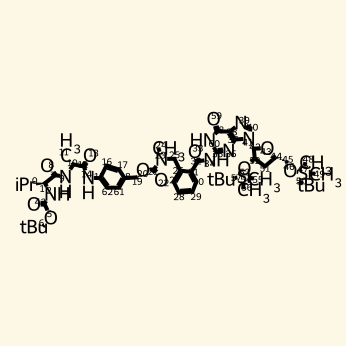 CC(C)[C@H](NC(=O)OC(C)(C)C)C(=O)N[C@@H](C)C(=O)Nc1ccc(COC(=O)N(C)Cc2ccccc2C(=O)Nc2nc3c(ncn3[C@@H]3O[C@H](CO[Si](C)(C)C(C)(C)C)CC3O[Si](C)(C)C(C)(C)C)c(=O)[nH]2)cc1